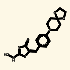 O=C1N=C(NO)SC1=Cc1ccc(N2CCC3(CC2)OCCO3)cc1